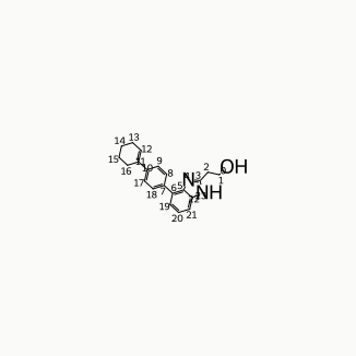 OCCc1nc2c(-c3ccc(C4=CCCCC4)cc3)cccc2[nH]1